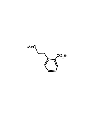 CCOC(=O)c1ccccc1CCOC